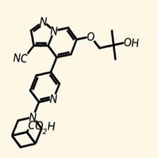 CC(C)(O)COc1cc(-c2ccc(N3CC4CC(C3)C4C(=O)O)nc2)c2c(C#N)cnn2c1